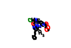 Cc1cc(C#Cc2ccccc2)cnc1NC(=O)c1c(Cl)cnn1CC1(C)CCN(C(=O)C2COCCO2)CC1